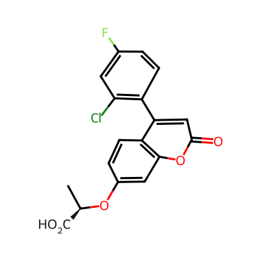 C[C@@H](Oc1ccc2c(-c3ccc(F)cc3Cl)cc(=O)oc2c1)C(=O)O